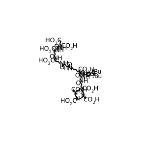 CC(C)(C)[Si](F)(c1ccc(C(=O)N[C@H](CNC(=O)CC[C@H](C(=O)O)N2CCN(CC(=O)O)CCN(CC(=O)O)CCN(CC(=O)O)CC2)C(=O)N[C@@H](CCCCNC(=O)CCC(=O)NCCC[C@H](NC(=O)CC[C@H](NC(=O)N[C@@H](CCC(=O)O)C(=O)O)C(=O)O)C(=O)O)C(=O)O)cc1)C(C)(C)C